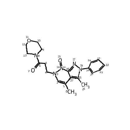 Cc1cn(CCC(=O)N2CCOCC2)[n+](=O)c2nn(-c3ccccc3)c(C)c12